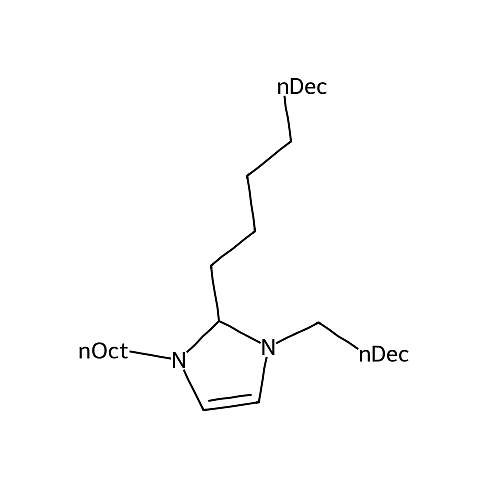 CCCCCCCCCCCCCCC1N(CCCCCCCC)C=CN1CCCCCCCCCCC